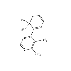 Cc1cccc(C2=CC=CCC2(C(C)C)C(C)C)c1C